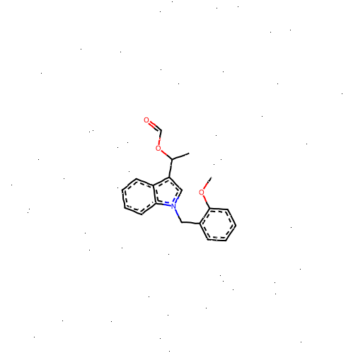 COc1ccccc1Cn1cc(C(C)OC=O)c2ccccc21